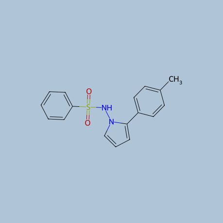 Cc1ccc(-c2cccn2NS(=O)(=O)c2ccccc2)cc1